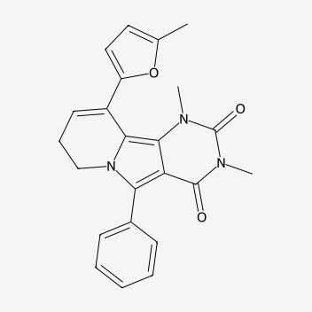 Cc1ccc(C2=CCCn3c(-c4ccccc4)c4c(=O)n(C)c(=O)n(C)c4c32)o1